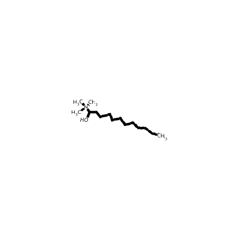 CCCCCCCCCCCC(O)[N+](C)(C)C